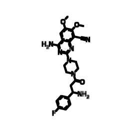 COc1cc2c(N)nc(N3CCN(C(=O)CC(N)c4ccc(F)cc4)CC3)nc2c(C#N)c1OC